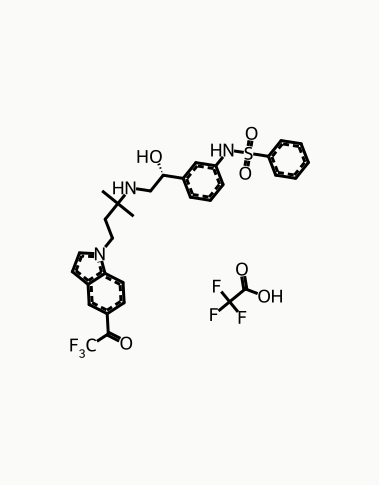 CC(C)(CCn1ccc2cc(C(=O)C(F)(F)F)ccc21)NC[C@H](O)c1cccc(NS(=O)(=O)c2ccccc2)c1.O=C(O)C(F)(F)F